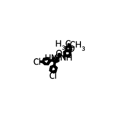 CC1(C)Cc2cc(NC(=O)N3CC(c4ccc(Cl)cc4)=C(c4ccc(Cl)cc4)N3)ccc2O1